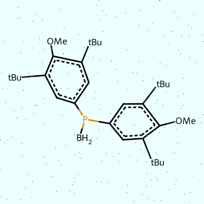 BP(c1cc(C(C)(C)C)c(OC)c(C(C)(C)C)c1)c1cc(C(C)(C)C)c(OC)c(C(C)(C)C)c1